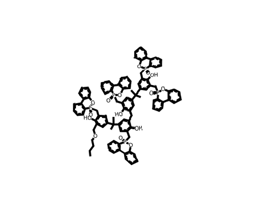 CCCCOCc1cc(C(C)(C)c2cc(Cc3cc(C(C)(C)c4cc(CP5(=O)Oc6ccccc6-c6ccccc65)c(O)c(CP5(=O)Oc6ccccc6-c6ccccc65)c4)cc(CP4(=O)Oc5ccccc5-c5ccccc54)c3O)c(O)c(CP3(=O)Oc4ccccc4-c4ccccc43)c2)cc(CP2(=O)Oc3ccccc3-c3ccccc32)c1O